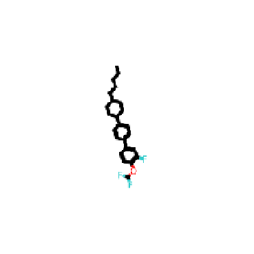 CCCCCC1CCC(c2ccc(-c3ccc(OC(F)F)c(F)c3)cc2)CC1